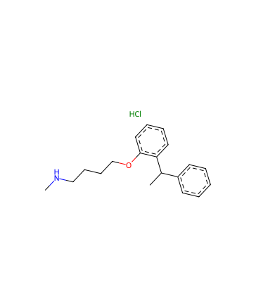 CNCCCCOc1ccccc1C(C)c1ccccc1.Cl